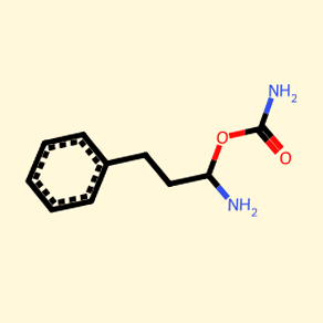 NC(=O)OC(N)CCc1ccccc1